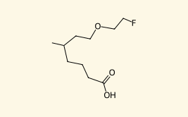 CC(CCCC(=O)O)CCOCCF